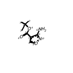 CC(C)(C)OC(=O)c1conc1N